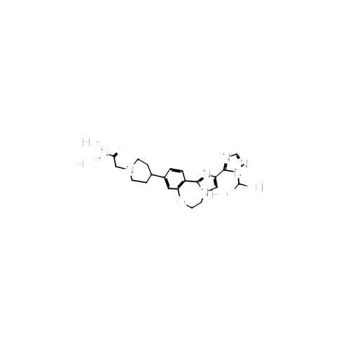 CC(C)n1ncnc1-c1cn2c(n1)-c1ccc(C3CCN(CC(=O)N(C)C)CC3)cc1OCC2